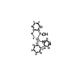 OC1c2ncccc2CC[C@H]1[C@H]1c2ccccc2-c2cncn21